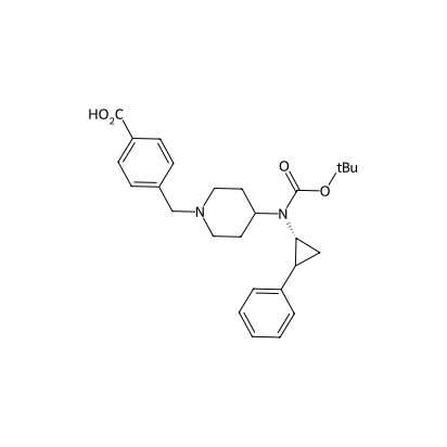 CC(C)(C)OC(=O)N(C1CCN(Cc2ccc(C(=O)O)cc2)CC1)[C@@H]1CC1c1ccccc1